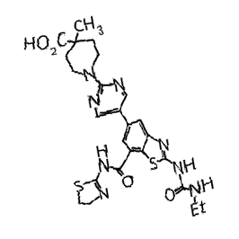 CCNC(=O)Nc1nc2cc(-c3cnc(N4CCC(C)(C(=O)O)CC4)nc3)cc(C(=O)NC3=NCCS3)c2s1